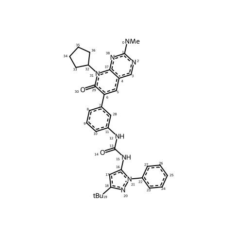 CNc1ncc2cc(-c3cccc(NC(=O)Nc4cc(C(C)(C)C)nn4-c4ccccc4)c3)c(=O)n(C3CCCC3)c2n1